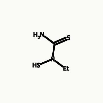 CCN(S)C(N)=S